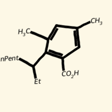 CCCCCC(CC)c1c(C)cc(C)cc1C(=O)O